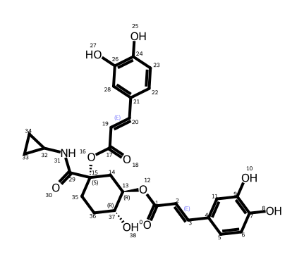 O=C(/C=C/c1ccc(O)c(O)c1)O[C@@H]1C[C@](OC(=O)/C=C/c2ccc(O)c(O)c2)(C(=O)NC2CC2)CC[C@H]1O